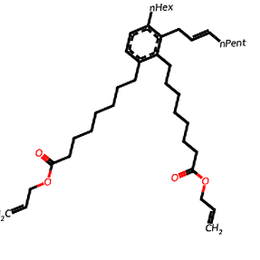 C=CCOC(=O)CCCCCCCc1ccc(CCCCCC)c(C/C=C/CCCCC)c1CCCCCCCC(=O)OCC=C